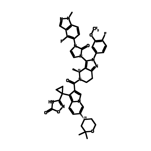 C[C@H]1c2c(nn(-c3ccc(F)c(OC(F)(F)F)c3)c2-n2ccn(-c3ccc4c(cnn4C)c3F)c2=O)CCN1C(=O)c1cn2cc([C@@H]3CCOC(C)(C)C3)ccc2c1C1(c2noc(=O)[nH]2)CC1